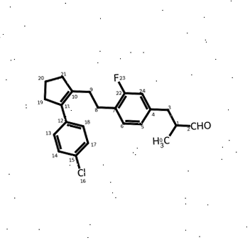 CC(C=O)Cc1ccc(CCC2=C(c3ccc(Cl)cc3)CCC2)c(F)c1